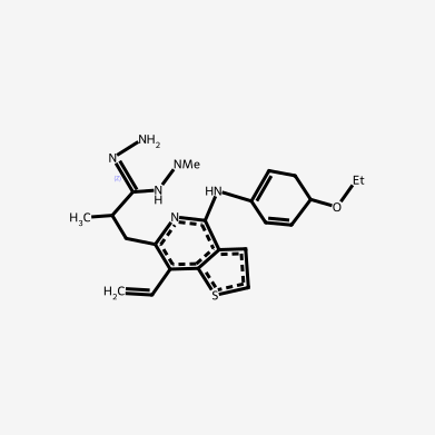 C=Cc1c(CC(C)/C(=N/N)NNC)nc(NC2=CCC(OCC)C=C2)c2ccsc12